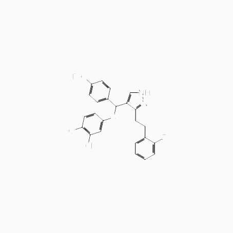 Cc1cc(SC(c2ccc(C(F)(F)F)cc2)c2c[nH]nc2CCc2ccccc2F)ccc1[O]